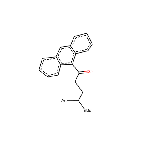 CCCCC(CCC(=O)c1c2ccccc2cc2ccccc12)C(C)=O